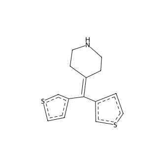 c1cc(C(=C2CCNCC2)c2ccsc2)cs1